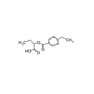 CCc1ccc(C(=O)OC(CC)C(=O)O)cc1